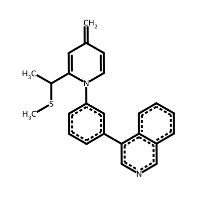 C=C1C=CN(c2cccc(-c3cncc4ccccc34)c2)C(C(C)SC)=C1